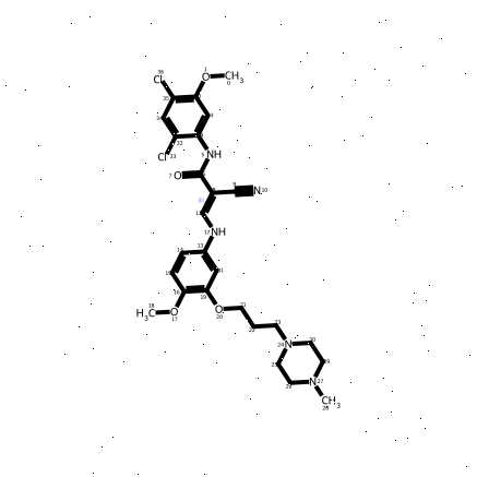 COc1cc(NC(=O)/C(C#N)=C/Nc2ccc(OC)c(OCCCN3CCN(C)CC3)c2)c(Cl)cc1Cl